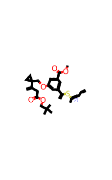 C=C/C=C(/C)SC(=C)c1cc(OCC2(C(=C)CC(=O)OCC(C)(C)C)CC2)cc(C(=O)OC)c1